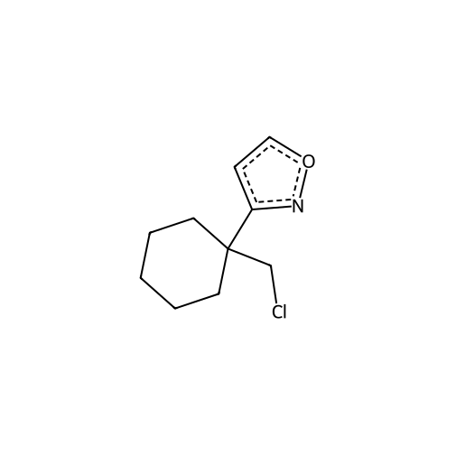 ClCC1(c2ccon2)CCCCC1